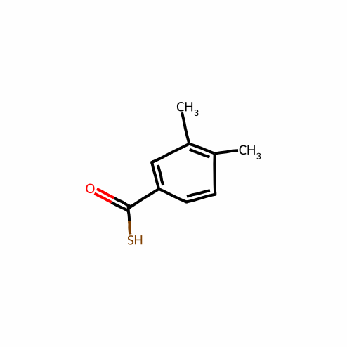 Cc1ccc(C(=O)S)cc1C